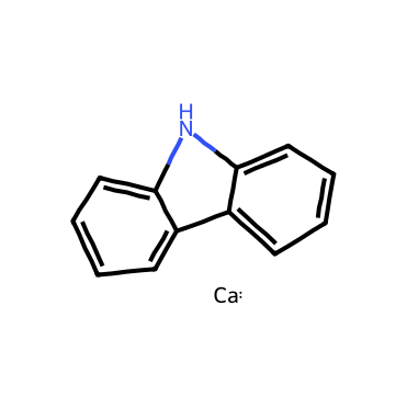 [Ca].c1ccc2c(c1)[nH]c1ccccc12